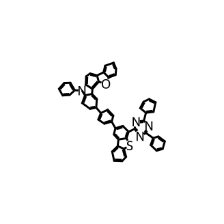 c1ccc(-c2nc(-c3ccccc3)nc(-c3cc(-c4ccc(-c5ccc6c(c5)c5c7oc8ccccc8c7ccc5n6-c5ccccc5)cc4)cc4c3sc3ccccc34)n2)cc1